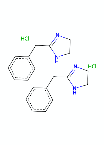 Cl.Cl.c1ccc(CC2=NCCN2)cc1.c1ccc(CC2=NCCN2)cc1